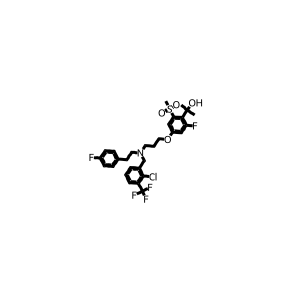 CC(C)(O)c1c(F)cc(OCCCN(CCc2ccc(F)cc2)Cc2cccc(C(F)(F)F)c2Cl)cc1S(C)(=O)=O